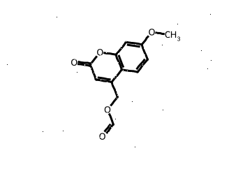 COc1ccc2c(COC=O)cc(=O)oc2c1